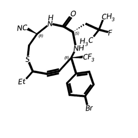 CCC1C#C[C@](c2ccc(Br)cc2)(C(F)(F)F)N[C@@H](CC(C)(C)F)C(=O)N[C@H](C#N)CS1